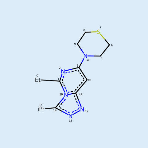 CCc1nc(N2CCSCC2)cc2nnc(C(C)C)n12